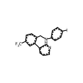 FC(F)(F)c1ccc(CNc2ccc(I)cc2)c(-c2cccnc2)c1